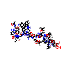 CC[C@H](C)[C@H](NC(=O)[C@@H]1CCCN1C(=O)[C@@H](NC(=O)CNC(C)=O)[C@@H](C)CC)C(=O)NCC(=O)NCC(=O)N[C@@H](Cc1cn(C(c2ccccc2)(c2ccccc2)c2ccccc2)cn1)C(=O)N[C@@H](C)C(=O)N[C@@H](CCC(=O)OC(C)(C)C)C(=O)NCC(=O)N[C@H](C(=O)N[C@@H](Cc1ccccc1)C(=O)N[C@H](C(=O)N[C@@H](COC(C)(C)C)C(=O)N[C@@H](CC(=O)O)C(=O)O)[C@@H](C)OC(C)(C)C)[C@@H](C)OC(C)(C)C